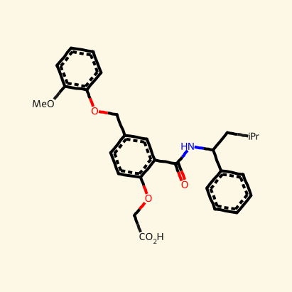 COc1ccccc1OCc1ccc(OCC(=O)O)c(C(=O)NC(CC(C)C)c2ccccc2)c1